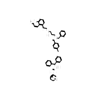 O=C(NC(c1ccccc1)c1cccc(OCc2ccc(C(=O)N(CCCNC[C@@H](O)c3ccc(O)c4[nH]c(=O)ccc34)Cc3ccccc3Cl)cc2)c1)O[C@H]1CN2CCC1CC2